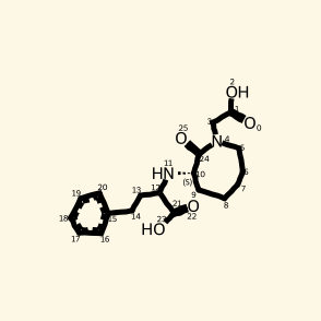 O=C(O)CN1CCCCC[C@H](NC(CCc2ccccc2)C(=O)O)C1=O